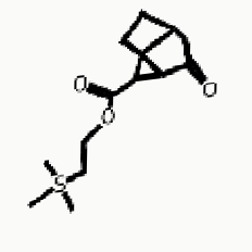 CS(C)(C)CCOC(=O)C1C2C(=O)CC3CCC321